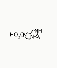 O=C(O)N1CCN2C(CNC3CC32)C1